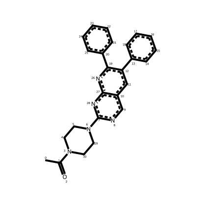 CC(=O)N1CCN(c2ncc3cc(-c4ccccc4)c(-c4cc[c]cc4)nc3n2)CC1